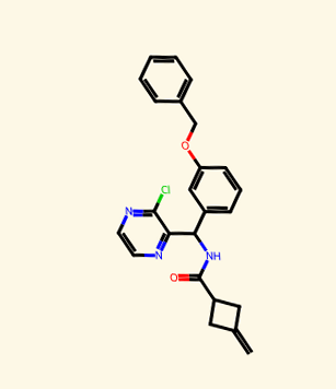 C=C1CC(C(=O)NC(c2cccc(OCc3ccccc3)c2)c2nccnc2Cl)C1